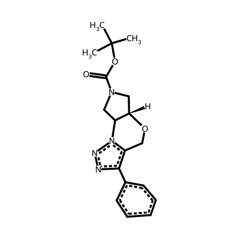 CC(C)(C)OC(=O)N1CC2[C@H](C1)OCc1c(-c3ccccc3)nnn12